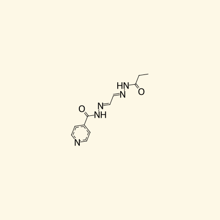 CCC(=O)NN=CC=NNC(=O)c1ccncc1